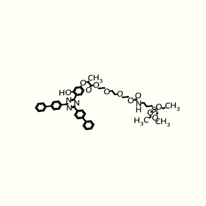 CCO[Si](CCCNC(=O)OCCOCCOCCOC(=O)C(C)Oc1ccc(-c2nc(-c3ccc(-c4ccccc4)cc3)nc(-c3ccc(-c4ccccc4)cc3)n2)c(O)c1)(COC)OCC